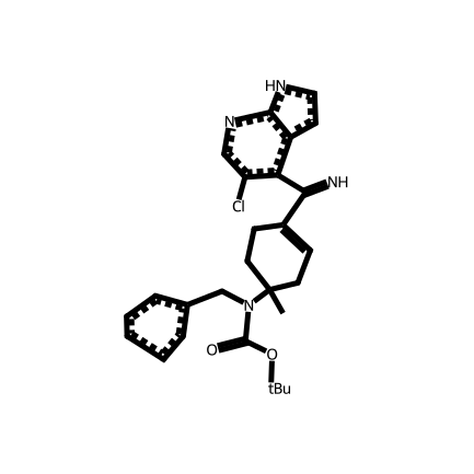 CC(C)(C)OC(=O)N(Cc1ccccc1)C1(C)CC=C(C(=N)c2c(Cl)cnc3[nH]ccc23)CC1